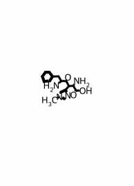 Cn1cnc(C(C(=O)C(N)Cc2ccccc2)C(N)C(=O)O)c1